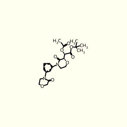 CC(=O)O[C@@H](C(=O)OC(C)(C)C)[C@H]1OCCN(c2cccc(N3CCOCC3=O)c2)C1=O